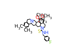 CCC1CN2CCc3cc(C)c(C)cc3C2CC1CC1c2cc(OC)c(OC)cc2CCN1C(=S)NCc1ccc(F)cc1